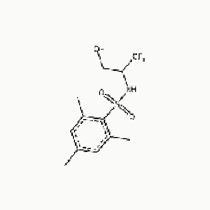 Cc1cc(C)c(S(=O)(=O)NC(CO)C(F)(F)F)c(C)c1